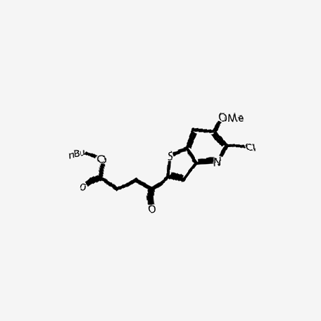 CCCCOC(=O)CCC(=O)c1cc2nc(Cl)c(OC)cc2s1